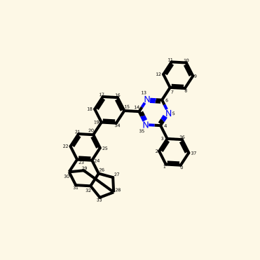 c1ccc(-c2nc(-c3ccccc3)nc(-c3cccc(-c4ccc5c(c4)C4CC6CC5CC4C6)c3)n2)cc1